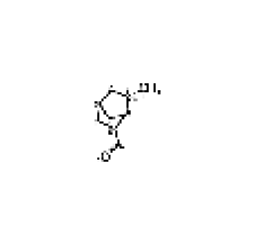 C[C@H]1CC2CC(C=O)C1C2